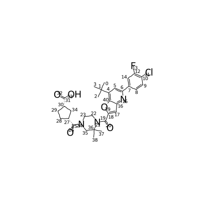 CC(C)(C)c1cc(-c2ccc(Cl)c(F)c2)nc2cc(C(=O)N3CCN(C(=O)[C@@H]4CC[C@H](C(=O)O)C4)CC3(C)C)oc12